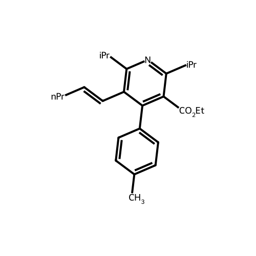 CCC/C=C/c1c(C(C)C)nc(C(C)C)c(C(=O)OCC)c1-c1ccc(C)cc1